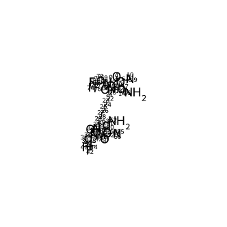 CC1=C(C(=O)OCCN(C)C)[C@@H](c2ccc(N)cc2)N(CCCCCCCCCCCCN2C(=O)N(c3cccc(C(F)(F)F)c3)C(C)=C(C(=O)OCCN(C)C)[C@H]2c2ccc(N)cc2)C(=O)N1c1cccc(C(F)(F)F)c1